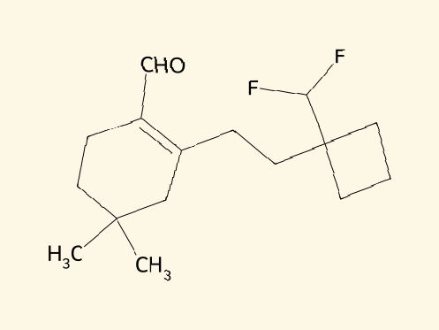 CC1(C)CCC(C=O)=C(CCC2(C(F)F)CCC2)C1